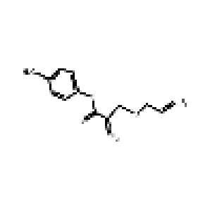 C=CCOCC(=C)C(=O)Oc1ccc(C)cc1